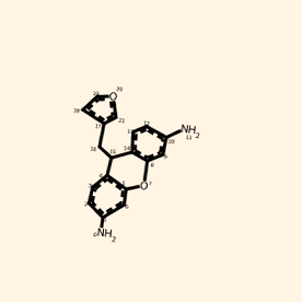 Nc1ccc2c(c1)Oc1cc(N)ccc1C2Cc1ccoc1